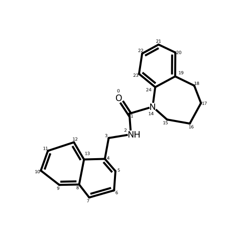 O=C(NCc1cccc2ccccc12)N1CCCCc2ccccc21